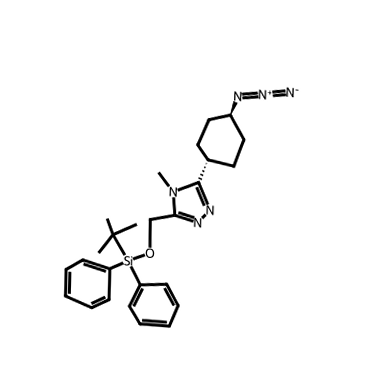 Cn1c(CO[Si](c2ccccc2)(c2ccccc2)C(C)(C)C)nnc1[C@H]1CC[C@H](N=[N+]=[N-])CC1